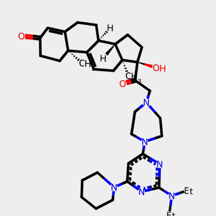 CCN(CC)c1nc(N2CCCCC2)cc(N2CCN(CC(=O)[C@@]3(O)CC[C@H]4[C@@H]5CCC6=CC(=O)CC[C@]6(C)C5=CC[C@@]43C)CC2)n1